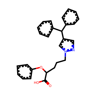 O=C(O)C(CCCn1cc(C(c2ccccc2)c2ccccc2)cn1)Oc1ccccc1